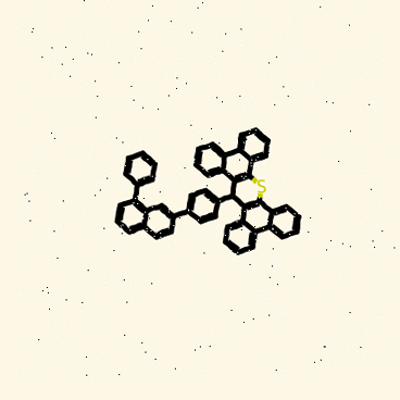 c1ccc(-c2cccc3ccc(-c4ccc(C5c6c(c7ccccc7c7ccccc67)Sc6c5c5ccccc5c5ccccc65)cc4)cc23)cc1